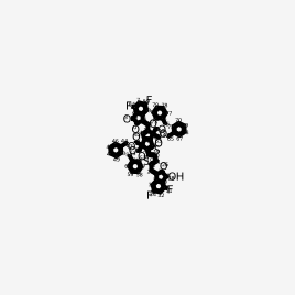 O=C1C(=O)c2c(F)cc(F)cc2/C1=C/C1=CC2=C(c3sc4cc(/C=C5\C(=O)C(O)c6c(F)cc(F)cc65)sc4c3C2(C(=O)OCc2ccccc2)C(=O)OCc2ccccc2)C1(C(=O)OCc1ccccc1)C(=O)OCc1ccccc1